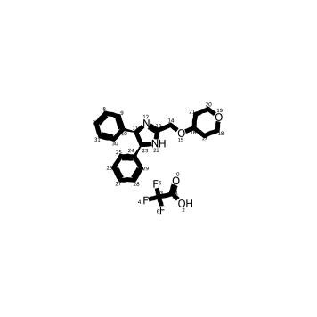 O=C(O)C(F)(F)F.c1ccc([C@H]2N=C(COC3CCOCC3)N[C@H]2c2ccccc2)cc1